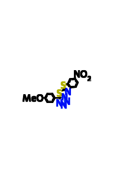 COc1ccc(C2(Sc3nc4ccc([N+](=O)[O-])cc4s3)N=NN=N2)cc1